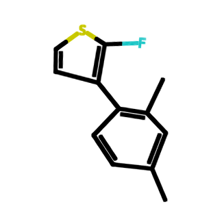 Cc1ccc(-c2ccsc2F)c(C)c1